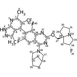 Cc1nc2[nH]nc(C)c2c(-c2c(F)cc3c(N4CC5CCC(C5)C4)nc(OC[C@@]45CCCN4C[C@H](F)C5)nc3c2F)c1C(F)(F)F